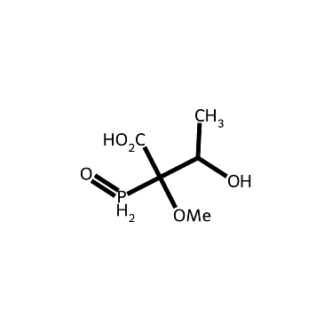 COC([PH2]=O)(C(=O)O)C(C)O